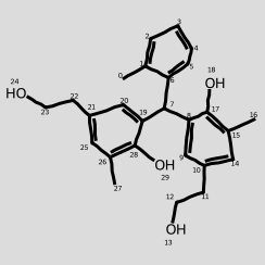 Cc1ccccc1C(c1cc(CCO)cc(C)c1O)c1cc(CCO)cc(C)c1O